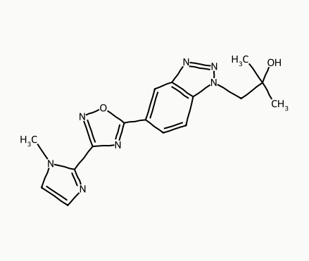 Cn1ccnc1-c1noc(-c2ccc3c(c2)nnn3CC(C)(C)O)n1